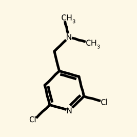 CN(C)Cc1cc(Cl)nc(Cl)c1